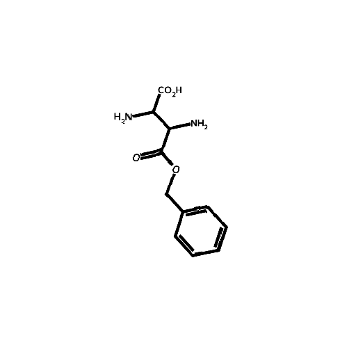 NC(C(=O)O)C(N)C(=O)OCc1ccccc1